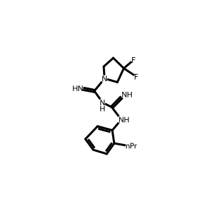 CCCc1ccccc1NC(=N)NC(=N)N1CCC(F)(F)C1